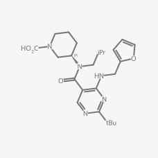 CC(C)CN(C(=O)c1cnc(C(C)(C)C)nc1NCc1ccco1)[C@@H]1CCCN(C(=O)O)C1